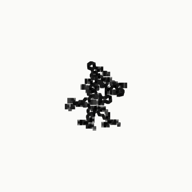 CC[C@H](C)[C@H](NC(=O)[C@H](Cc1c[nH]c2ccccc12)NC(=O)[C@H](CCCNC(=N)N)NC(=O)[C@H](CCCNC(=N)N)NC(=O)[C@@H](N)CCCNC(=N)N)C(=O)N[C@@H](Cc1c[nH]c2ccccc12)C(=O)N[C@H](C(=O)N[C@H](C(=O)N[C@@H](Cc1c[nH]c2ccccc12)C(=O)O)[C@@H](C)CC)[C@@H](C)CC